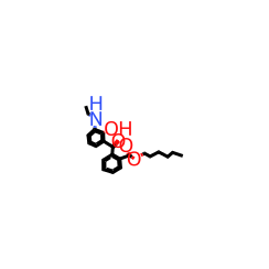 CCCCCCOC(=O)c1ccccc1C(=O)c1cccc(NCC)c1O